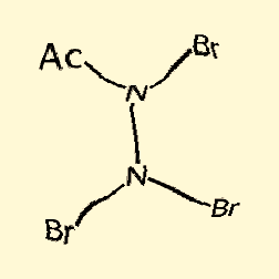 CC(=O)N(Br)N(Br)Br